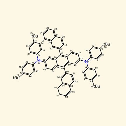 CC(C)(C)c1ccc(N(c2ccc(C(C)(C)C)cc2)c2ccc3c(-c4ccc5ccccc5c4)c4cc(N(c5ccc(C(C)(C)C)cc5)c5ccc(C(C)(C)C)cc5)ccc4c(-c4ccc5c(c4)CCC=C5)c3c2)cc1